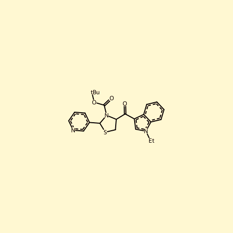 CCn1cc(C(=O)C2CSC(c3cccnc3)N2C(=O)OC(C)(C)C)c2ccccc21